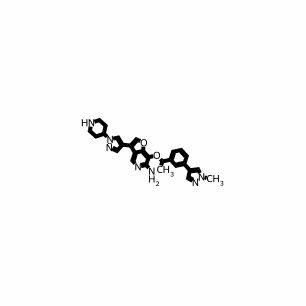 CC(Oc1c(N)ncc2c(-c3cnn(C4CCNCC4)c3)coc12)c1cccc(-c2cnn(C)c2)c1